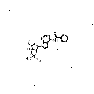 CC1(C)OC2[C@@H](O1)[C@@H](CO)O[C@H]2n1cnc2c(NC(=O)c3ccccc3)ncnc21